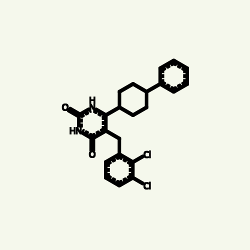 O=c1[nH]c(C2CCC(c3ccccc3)CC2)c(Cc2cccc(Cl)c2Cl)c(=O)[nH]1